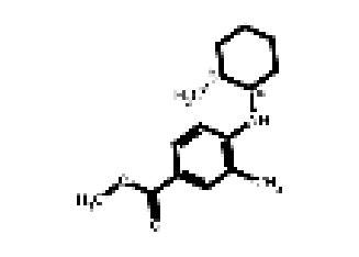 COC(=O)c1ccc(N[C@@H]2CCCC[C@H]2C)c(C)c1